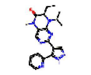 CC[C@@H]1C(=O)N(C)c2cnc(-c3cn[nH]c3-c3ccccn3)nc2N1C(C)C